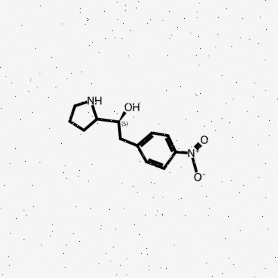 O=[N+]([O-])c1ccc(C[C@H](O)C2CCCN2)cc1